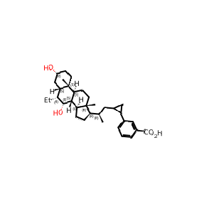 CC[C@H]1[C@@H](O)[C@@H]2[C@H](CC[C@]3(C)[C@@H]([C@H](C)CC4CC4c4cccc(C(=O)O)c4)CC[C@@H]23)[C@@]2(C)CC[C@@H](O)C[C@@H]12